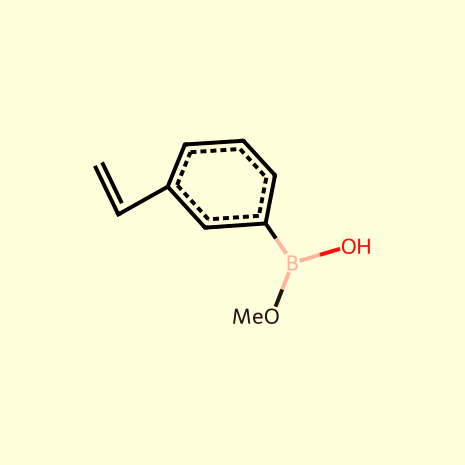 C=Cc1cccc(B(O)OC)c1